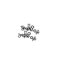 C=CC(=O)N1C[C@H](F)[C@H](Nc2nnc(-c3ccc(C(F)(F)F)cc3)c3ccccc23)C1.CC(C)(C)OC(=O)N1C[C@H](F)[C@H](Nc2nnc(-c3ccc(C(F)(F)F)cc3)c3ccccc23)C1